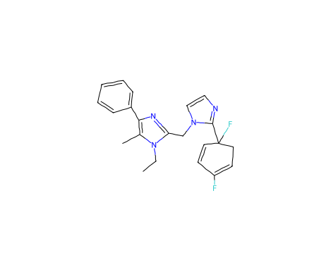 CCn1c(Cn2ccnc2C2(F)C=CC(F)=CC2)nc(-c2ccccc2)c1C